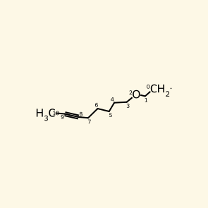 [CH2]COCCCCCC#CC